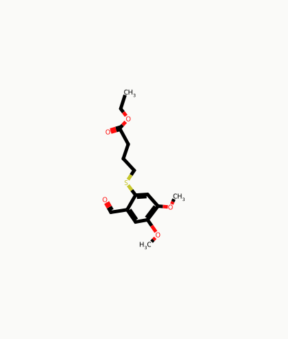 CCOC(=O)CCCSc1cc(OC)c(OC)cc1C=O